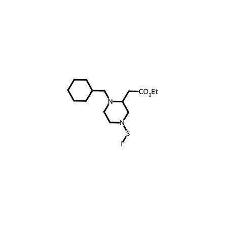 CCOC(=O)CC1CN(SI)CCN1CC1CCCCC1